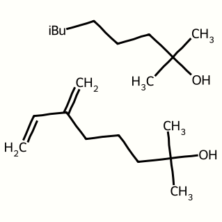 C=CC(=C)CCCC(C)(C)O.CCC(C)CCCC(C)(C)O